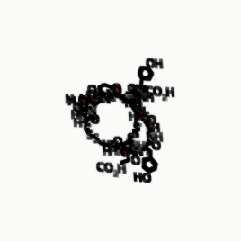 C[C@@H]1NC(=O)[C@@H]2CCCN2C(=O)[C@H](CC(N)=O)NC(=O)[C@@H]2CSSC[C@H](N)C(=O)N[C@H]3CSSC[C@H](NC1=O)C(=O)N[C@@H]([C@@H](C)O)C(=O)NCC(=O)N[C@H](C(=O)NC(Cc1ccc(O)cc1)C(=O)O)CSSC[C@H](NC(=O)C(Cc1ccc(O)cc1)NC(=O)C(CCC(=O)O)NC3=O)C(=O)N2